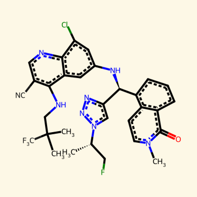 C[C@@H](CF)n1cc([C@@H](Nc2cc(Cl)c3ncc(C#N)c(NCC(C)(C)C(F)(F)F)c3c2)c2cccc3c(=O)n(C)ccc23)nn1